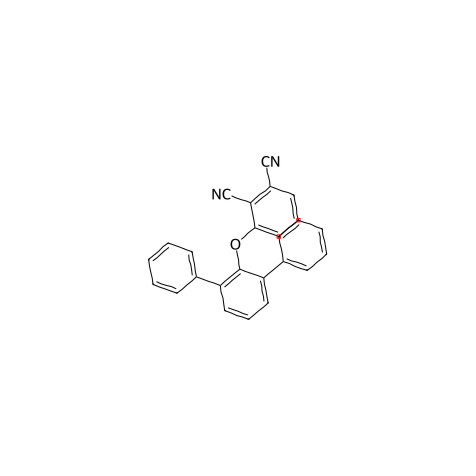 N#Cc1cccc(Oc2c(-c3ccccc3)cccc2-c2ccccc2)c1C#N